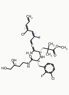 C=C/C=C(Cl)\C=C(\F)C=C=C(N)[C@H](CC(C)(C)C(=O)OC)N[C@H](Cc1cccc(Cl)c1F)C(=O)NCC[C@H](O)CO